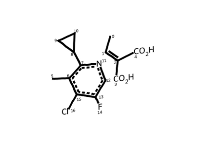 CC=C(C(=O)O)C(=O)O.Cc1c(C2CC2)ncc(F)c1Cl